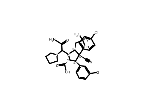 CC(C)(C)C[C@@H]1N(C(C(N)=O)N2CCCC2)[C@@H](C(=O)O)[C@H](c2cccc(Cl)c2)[C@@]1(C#N)c1ccc(Cl)cc1